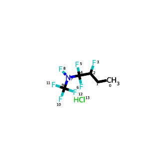 CCC(F)C(F)(F)N(F)C(F)(F)F.Cl